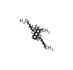 CCCCCCCC(=O)Oc1c2ccccc2c(OC(=O)CCCCCCC)c2cc(CC)c(CC)cc12